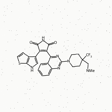 CNCC1(C(F)(F)F)CCN(c2nc(C3=C(c4c[nH]c5sccc45)C(=O)NC3=O)c3ccccc3n2)CC1